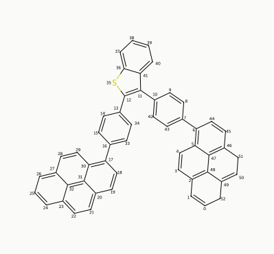 C1=Cc2ccc3c(-c4ccc(-c5c(-c6ccc(-c7ccc8ccc9cccc%10ccc7c8c9%10)cc6)sc6ccccc56)cc4)ccc4c3c2C(=CC4)C1